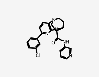 O=C(Nc1cccnc1)N1c2nc(-c3cccc(Cl)c3)ccc2N2CCC1CC2